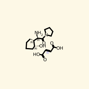 N[C@@H](C(=O)N1CCCC1)[C@H]1CCCC[C@H]1O.O=C(O)/C=C/C(=O)O